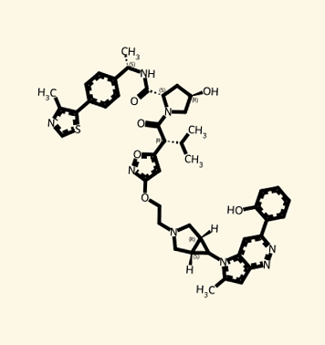 Cc1ncsc1-c1ccc([C@H](C)NC(=O)[C@@H]2C[C@@H](O)CN2C(=O)[C@@H](c2cc(OCCN3C[C@@H]4C(n5c(C)cc6nnc(-c7ccccc7O)cc65)[C@@H]4C3)no2)C(C)C)cc1